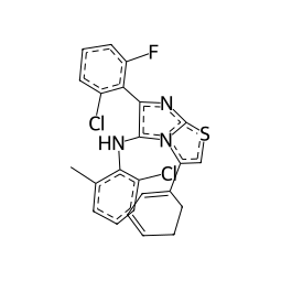 Cc1cccc(Cl)c1Nc1c(-c2c(F)cccc2Cl)nc2scc(C3=CC=CCC3)n12